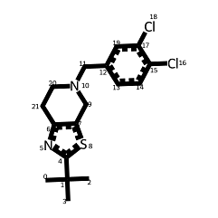 CC(C)(C)c1nc2c(s1)CN(Cc1ccc(Cl)c(Cl)c1)CC2